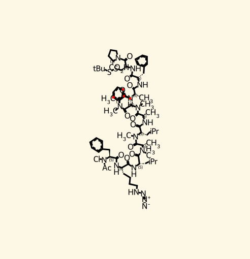 CC(=O)N(Cl)[C@@H](Cc1ccccc1)C(=O)N[C@@H](CCCCNN=[N+]=[N-])C(=O)N[C@@H](CC(C)C)C(=O)N(C)[C@@H](C)C(=O)N(C)[C@@H](CC(C)C)C(=O)N[C@@H](C)C(=O)N(C)[C@@H](Cc1ccccc1)C(=O)N(C)[C@@H](C)C(=O)N[C@@H](C)C(=O)N[C@@H](Cc1ccccc1)C(=O)N[C@@H](CSSC(C)(C)C)C(=O)N1CCC[C@H]1C(=O)O